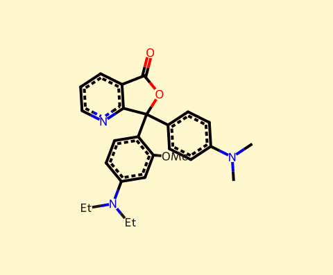 CCN(CC)c1ccc(C2(c3ccc(N(C)C)cc3)OC(=O)c3cccnc32)c(OC)c1